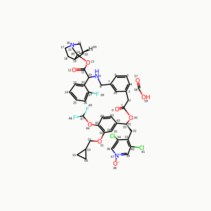 O=C(Cc1cccc(CNC(C(=O)O[C@H]2CN3CCC2CC3)c2ccccc2F)c1)O[C@@H](Cc1c(Cl)c[n+]([O-])cc1Cl)c1ccc(OC(F)F)c(OCC2CC2)c1.O=CO